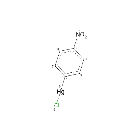 O=[N+]([O-])c1cc[c]([Hg][Cl])cc1